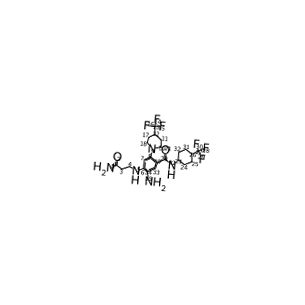 NC(=O)CCNc1cc(N2CCC(C(F)(F)F)CC2)c(C(=O)N[C@H]2CC[C@H](C(F)(F)F)CC2)cc1N